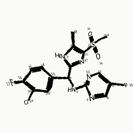 Cc1[nH]c(C(Nc2ncc(F)cn2)c2ccc(F)c(Cl)c2)nc1S(C)(=O)=O